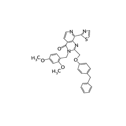 COc1ccc(Cn2c(COc3ccc(Cc4ccccc4)cc3)nc3c(-c4nccs4)nccc3c2=O)c(OC)c1